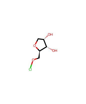 O[C@H]1[C@@H](O)CO[C@@H]1COCl